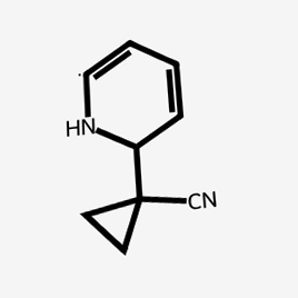 N#CC1(C2C=CC=[C]N2)CC1